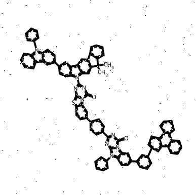 CC1(C)c2ccccc2-c2cc3c4cc(-c5ccc6c(c5)c5ccccc5n6-c5ccccc5)ccc4n(-c4nc(=O)n5c(n4)sc4ccc(-c6ccc(-c7nc(=O)n8c9cc(-c%10cccc(-c%11ccc%12c%13ccccc%13c%13ccccc%13c%12c%11)c%10)ccc9n(-c9ccccc9)c8n7)cc6)cc45)c3cc21